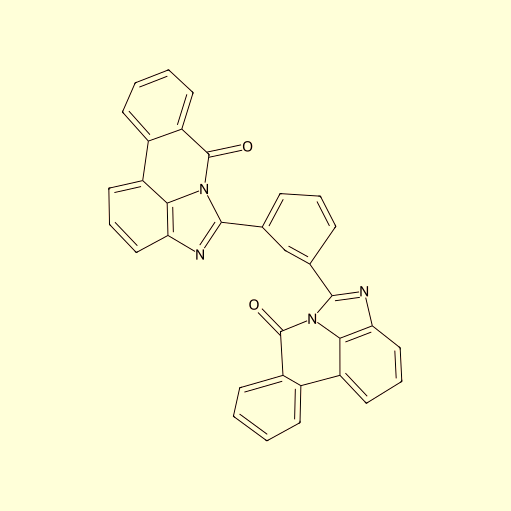 O=c1c2ccccc2c2cccc3nc(-c4cccc(-c5nc6cccc7c8ccccc8c(=O)n5c67)c4)n1c32